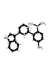 CN(C)c1ccc(N)cc1-c1nccc(-c2c[nH]c3ccccc23)n1